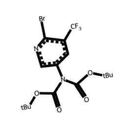 CC(C)(C)OC(=O)N(C(=O)OC(C)(C)C)c1cnc(Br)c(C(F)(F)F)c1